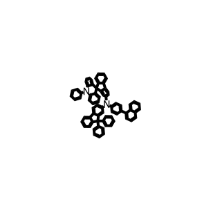 c1ccc(N2c3ccccc3C3(c4ccccc4-c4ccc(N(c5ccc(-c6cccc7ccccc67)cc5)c5ccc6c(c5)C(c5ccccc5)(c5ccccc5)c5ccccc5-6)cc43)c3ccccc32)cc1